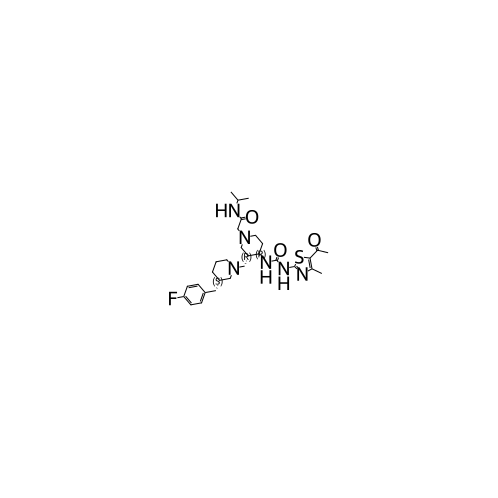 CC(=O)c1sc(NC(=O)N[C@@H]2CCN(CC(=O)NC(C)C)C[C@H]2CN2CCC[C@@H](Cc3ccc(F)cc3)C2)nc1C